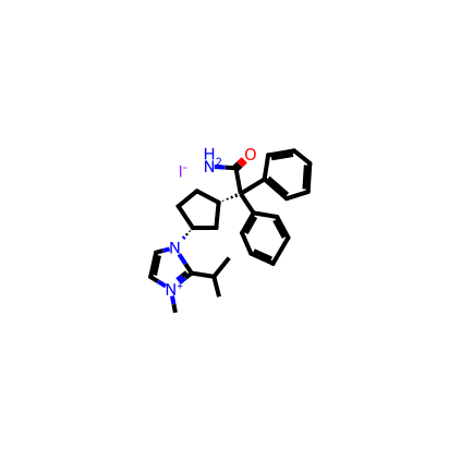 CC(C)c1n([C@@H]2CC[C@H](C(C(N)=O)(c3ccccc3)c3ccccc3)C2)cc[n+]1C.[I-]